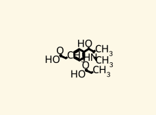 CCC(=O)O.CCC(=O)O.CNC(C)C(O)c1ccccc1